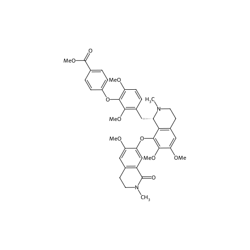 COC(=O)c1ccc(Oc2c(OC)ccc(C[C@H]3c4c(cc(OC)c(OC)c4Oc4cc5c(cc4OC)CCN(C)C5=O)CCN3C)c2OC)cc1